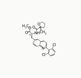 COC(=O)[C@H](Cc1ccc2nc(-c3c(Cl)cccc3Cl)ccc2c1)NC(=O)[C@@]1(C)CCCO1